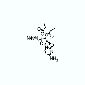 CCC(=O)OC[C@@]1(CN=[N+]=[N-])O[C@@H](n2ccc(N)nc2=O)[C@](C)(F)[C@@H]1OC(=O)CC